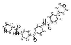 O=C(Nc1ccc(C(=O)c2ccc(NC(=O)c3ccnnc3)cc2)cc1)c1ccc(N2CCOCC2)cc1